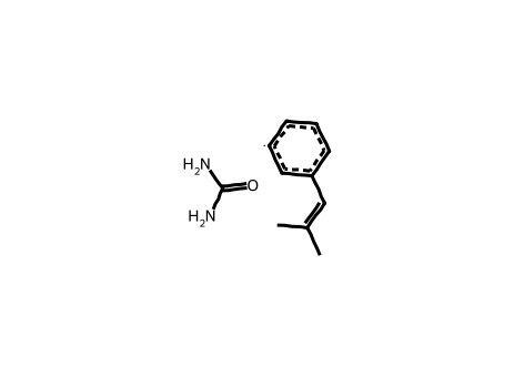 CC(C)=Cc1c[c]ccc1.NC(N)=O